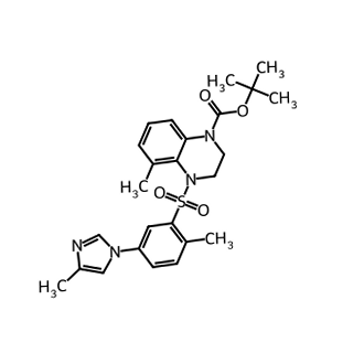 Cc1cn(-c2ccc(C)c(S(=O)(=O)N3CCN(C(=O)OC(C)(C)C)c4cccc(C)c43)c2)cn1